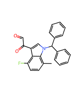 Cc1ccc(F)c2c(C(=O)C=O)cn(C(c3ccccc3)c3ccccc3)c12